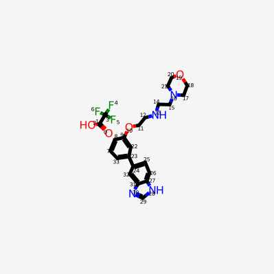 O=C(O)C(F)(F)F.c1cc(OCCNCCN2CCOCC2)cc(-c2ccc3[nH]cnc3c2)c1